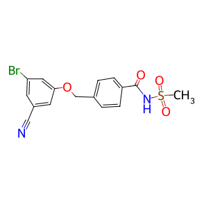 CS(=O)(=O)NC(=O)c1ccc(COc2cc(Br)cc(C#N)c2)cc1